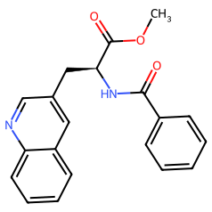 COC(=O)[C@H](Cc1cnc2ccccc2c1)NC(=O)c1ccccc1